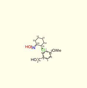 COc1ccc(C(=O)O)cc1.ON=C1CCCCC1Cl